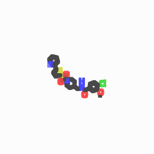 COc1cc(C(=O)NCC2CCN(S(=O)(=O)c3ccc(-c4ccccn4)s3)CC2)ccc1Cl